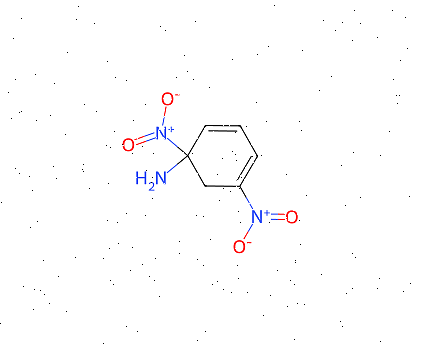 NC1([N+](=O)[O-])C=CC=C([N+](=O)[O-])C1